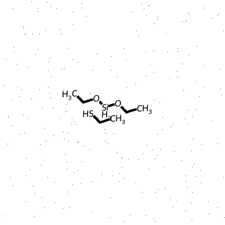 CCO[SiH2]OCC.CCS